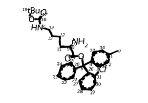 Cc1ccc(C(OC(=O)[C@H](N)CCCCNC(=O)OC(C)(C)C)(c2ccccc2)c2ccccc2Cl)cc1